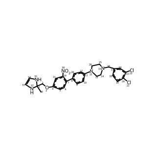 CC1(COc2ccc(-c3ccc(N4CCN(Cc5ccc(Cl)c(Cl)c5)CC4)cc3)c([N+](=O)[O-])c2)NC=CN1